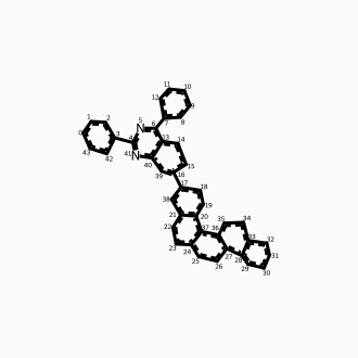 c1ccc(-c2nc(-c3ccccc3)c3ccc(-c4ccc5c(ccc6ccc7c8ccccc8ccc7c65)c4)cc3n2)cc1